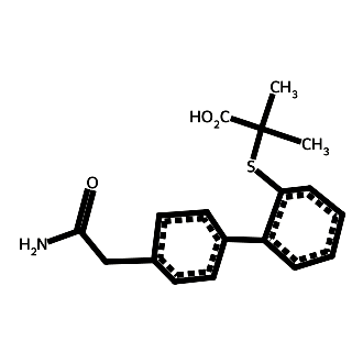 CC(C)(Sc1ccccc1-c1ccc(CC(N)=O)cc1)C(=O)O